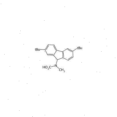 CN(C(=O)O)C1c2ccc(C(C)(C)C)cc2-c2ccc(C(C)(C)C)cc21